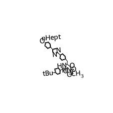 CCCCCCCOc1ccc(-c2cnc(-c3ccc(CC(NC(=O)c4ccc(C(C)(C)C)cc4)C(=O)NS(C)(=O)=O)cc3)nc2)cc1